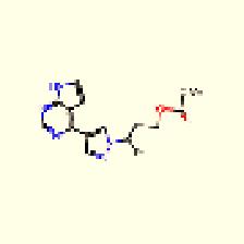 CCC(CCOC(=O)OC)n1cc(-c2ncnc3[nH]ccc23)cn1